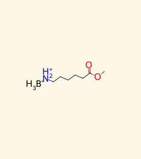 [BH3-][NH2+]CCCCCC(=O)OC